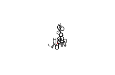 CC[C@H]1C[C@@H]1NC(=O)c1cc(C(=O)NC)c(=O)n(Cc2cccc3c2CCN3C(=O)OC(C)(C)C)c1